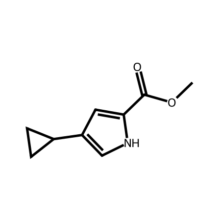 COC(=O)c1cc(C2CC2)c[nH]1